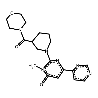 Cn1c(N2CCCC(C(=O)N3CCOCC3)C2)nc(-c2ccncn2)cc1=O